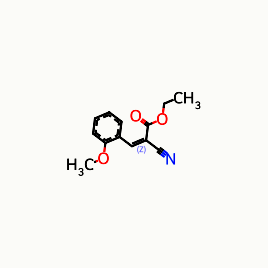 CCOC(=O)/C(C#N)=C\c1ccccc1OC